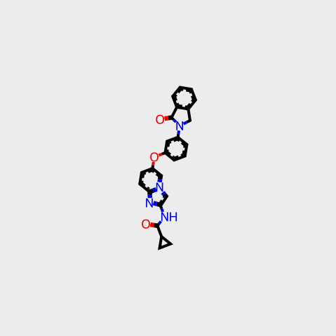 O=C(Nc1cn2cc(Oc3cccc(N4Cc5ccccc5C4=O)c3)ccc2n1)C1CC1